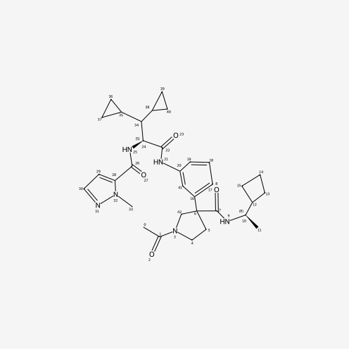 CC(=O)N1CCC(C(=O)N[C@H](C)C2CCC2)(c2cccc(NC(=O)[C@@H](NC(=O)c3ccnn3C)C(C3CC3)C3CC3)c2)C1